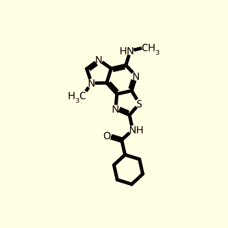 CNc1nc2sc(NC(=O)C3CCCCC3)nc2c2c1ncn2C